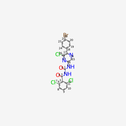 O=C(NC(=O)c1c(Cl)cccc1Cl)Nc1cnc(-c2ccc(Br)cc2)c(Cl)n1